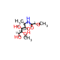 COCC(=O)N[C@@H](C)C(O)C(O)C(CO)OC